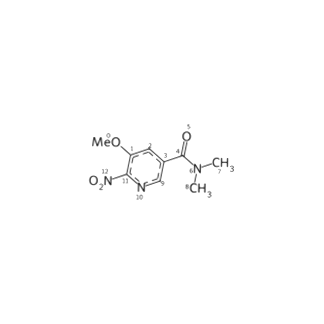 COc1cc(C(=O)N(C)C)cnc1[N+](=O)[O-]